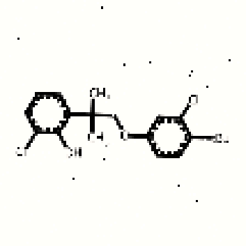 CC(C)(C)c1ccc(OCC(C)(C)c2cccc(Cl)c2O)cc1Cl